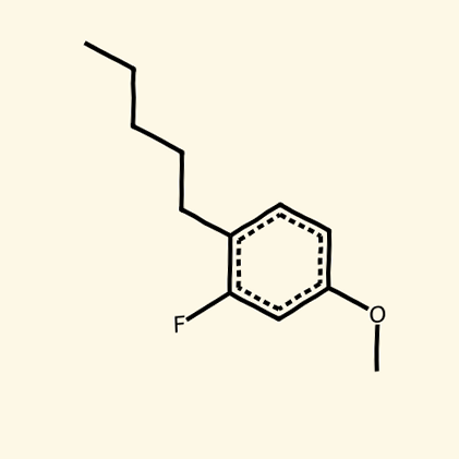 CCCCCc1ccc(OC)cc1F